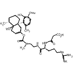 COc1ccc(C)c([C@@]23CCC[C@@H](C)[C@@]2(O)CC=C(OC(=O)N(C)CCNC(=O)[C@H](CCCNC(=N)N)NC(=O)CC(=O)O)C3)c1O